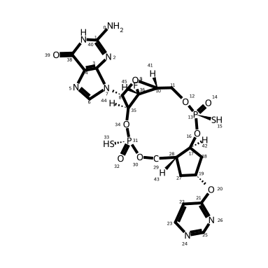 Nc1nc2c(ncn2[C@@H]2O[C@@H]3CO[P@@](=O)(S)O[C@H]4C[C@H](Oc5ccncn5)C[C@@H]4CO[P@](=O)(S)O[C@@H]2[C@@H]3F)c(=O)[nH]1